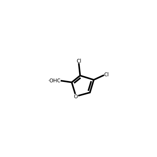 O=[C]c1occ(Cl)c1Cl